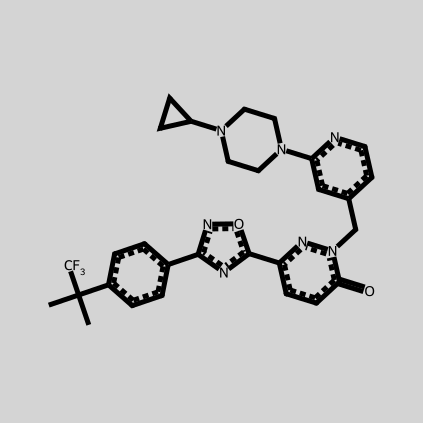 CC(C)(c1ccc(-c2noc(-c3ccc(=O)n(Cc4ccnc(N5CCN(C6CC6)CC5)c4)n3)n2)cc1)C(F)(F)F